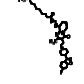 CCCCCCCCCC(=O)OCOC1CCCn2c1nc(C)c(CCN1CCC(c3noc4cc(F)ccc34)CC1)c2=O